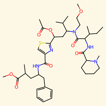 CCC(C)C(NC(=O)C1CCCCN1C)C(=O)N(CCOC)C(CC(OC(C)=O)c1nc(C(=O)NC(Cc2ccccc2)CC(C)C(=O)OC)cs1)C(C)C